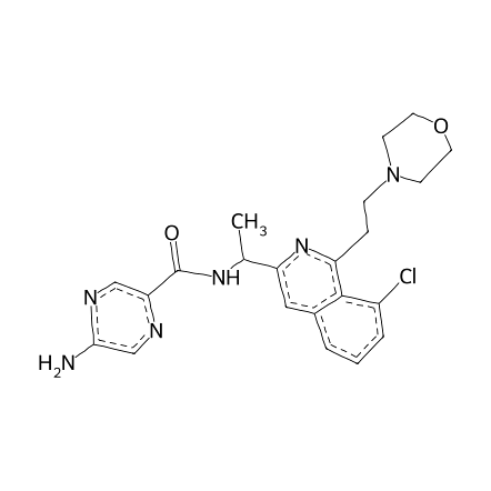 CC(NC(=O)c1cnc(N)cn1)c1cc2cccc(Cl)c2c(CCN2CCOCC2)n1